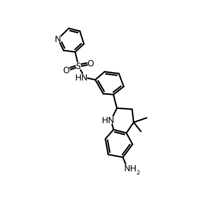 CC1(C)CC(c2cccc(NS(=O)(=O)c3cccnc3)c2)Nc2ccc(N)cc21